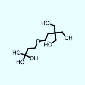 OCC(CO)(CO)CCOCCC(O)(O)O